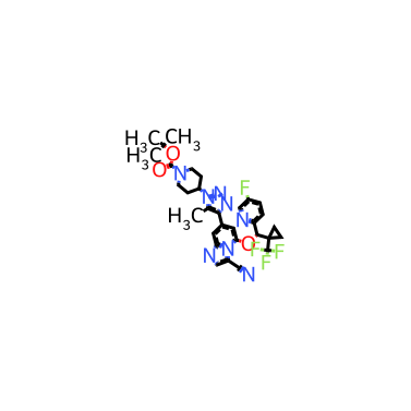 Cc1c(-c2cc(OC(c3ccc(F)cn3)C3(C(F)(F)F)CC3)n3c(C#N)cnc3c2)nnn1C1CCN(C(=O)OC(C)(C)C)CC1